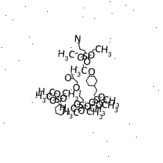 CCO[Si](CCC#N)(OCC)OCC.CO[Si](CCC1CCC2OC2C1)(OC)OC.CO[Si](CCCOCC1CO1)(OC)OC.CO[Si](OC)(OC)C1CCCCC1